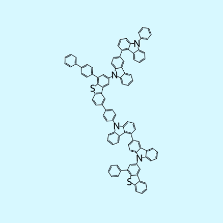 c1ccc(-c2ccc(-c3cc(-n4c5ccccc5c5cc(-c6cccc7c6c6ccccc6n7-c6ccccc6)ccc54)cc4c3sc3ccc(-c5ccc(-n6c7ccccc7c7c(-c8ccc9c(c8)c8ccccc8n9-c8cc(-c9ccccc9)c9sc%10ccccc%10c9c8)cccc76)cc5)cc34)cc2)cc1